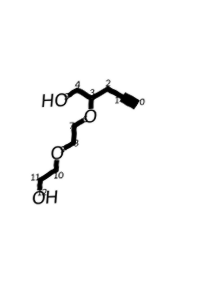 C#CCC(CO)OCCOCCO